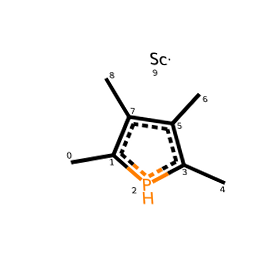 Cc1[pH]c(C)c(C)c1C.[Sc]